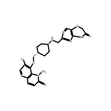 Cn1c(=O)ccc2ncc(Cl)c(OC[C@H]3CC[C@H](NCc4ncc5c(n4)NC(=O)CO5)CC3)c21